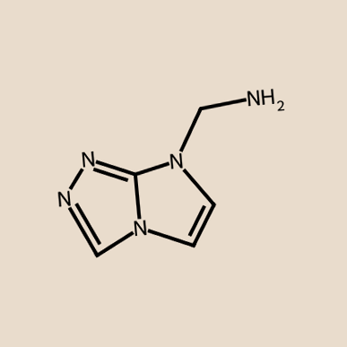 NCn1ccn2cnnc12